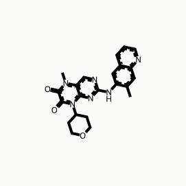 Cc1cc2ncccc2cc1Nc1ncc2c(n1)n(C1CCOCC1)c(=O)c(=O)n2C